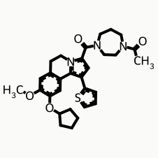 COc1cc2c(cc1OC1CCCC1)-c1c(-c3cccs3)cc(C(=O)N3CCCN(C(C)=O)CC3)n1CC2